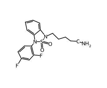 NCCCCCN1c2ccccc2N(c2ccc(F)cc2F)S1(=O)=O